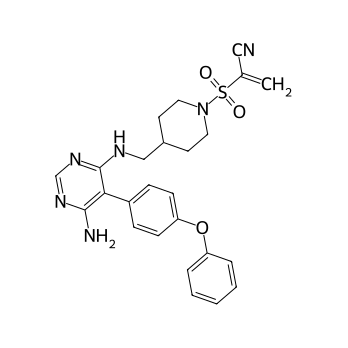 C=C(C#N)S(=O)(=O)N1CCC(CNc2ncnc(N)c2-c2ccc(Oc3ccccc3)cc2)CC1